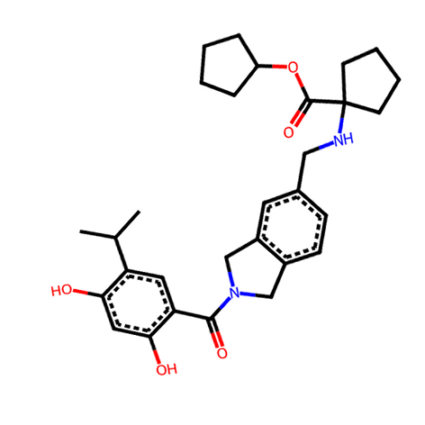 CC(C)c1cc(C(=O)N2Cc3ccc(CNC4(C(=O)OC5CCCC5)CCCC4)cc3C2)c(O)cc1O